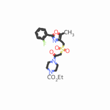 CCOC(=O)N1CCN(C(=O)CS(=O)(=O)Cc2nc(-c3ccccc3F)oc2C)CC1